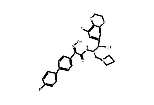 O=C(N[C@H](CN1CCC1)[C@H](O)c1cc(F)c2c(c1)OCCO2)C(=NO)c1ccc(-c2ccc(F)cc2)cc1